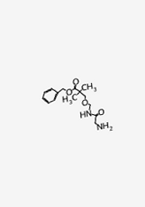 CC(C)(COCNC(=O)CN)C(=O)OCc1ccccc1